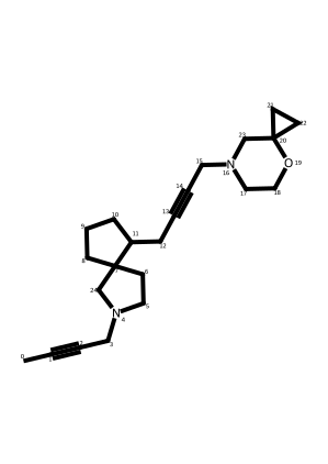 CC#CCN1CCC2(CCCC2CC#CCN2CCOC3(CC3)C2)C1